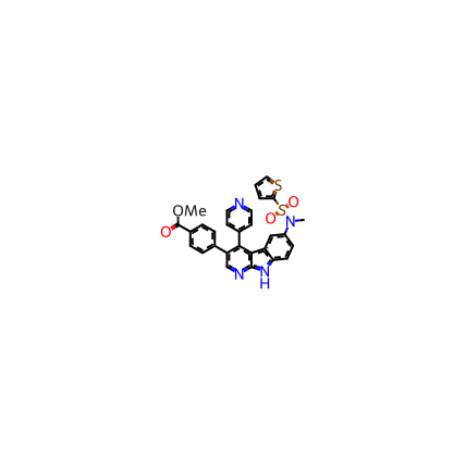 COC(=O)c1ccc(-c2cnc3[nH]c4ccc(N(C)S(=O)(=O)c5cccs5)cc4c3c2-c2ccncc2)cc1